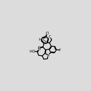 CCC(OC)c1cc(F)cc2c1c(C(=O)c1ccc(Cl)cc1)c1n2CCC1CC(=O)O